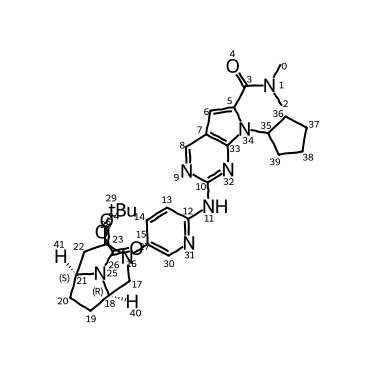 CN(C)C(=O)c1cc2cnc(Nc3ccc(N4C[C@H]5CC[C@@H](CC4=O)N5C(=O)OC(C)(C)C)cn3)nc2n1C1CCCC1